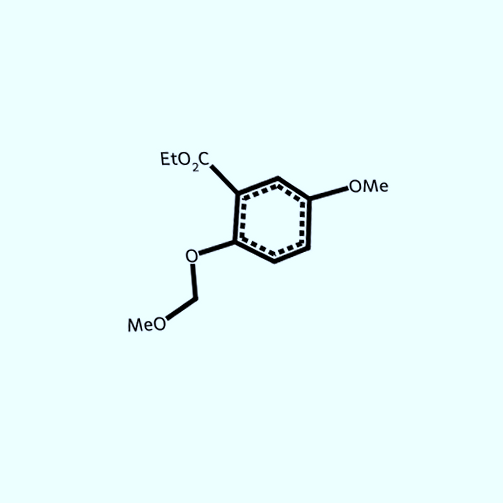 CCOC(=O)c1cc(OC)ccc1OCOC